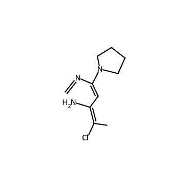 C=N/C(=C\C(N)=C(/C)Cl)N1CCCC1